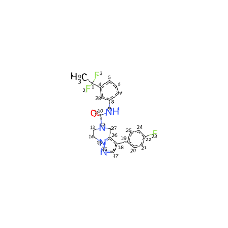 CC(F)(F)c1cccc(NC(=O)N2CCn3ncc(-c4ccc(F)cc4)c3C2)c1